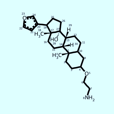 C[C@]12CCC(OCCN)CC1CC[C@@H]1[C@H]2CC[C@]2(C)C(c3ccoc3)CC[C@@]12O